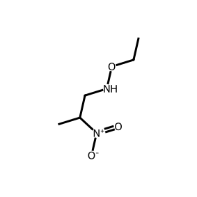 CCONCC(C)[N+](=O)[O-]